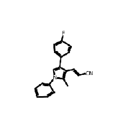 Cc1c(/C=C/C#N)c(-c2ccc(F)cc2)cn1-c1ccccc1